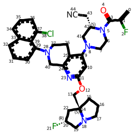 C=C(F)C(=O)N1CCN(c2cc(OC[C@@]34CCCN3C[C@H](F)C4)nc3c2CCN(c2cccc4cccc(Cl)c24)C3)C[C@@H]1CC#N